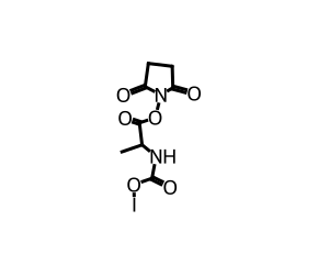 CC(NC(=O)OI)C(=O)ON1C(=O)CCC1=O